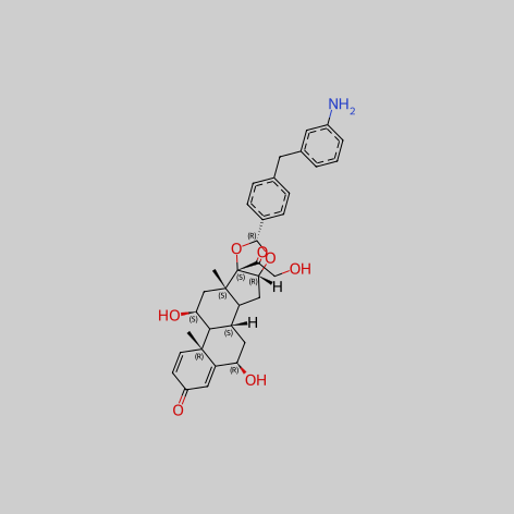 C[C@]12C=CC(=O)C=C1[C@H](O)C[C@@H]1C2[C@@H](O)C[C@@]2(C)C1C[C@H]1O[C@@H](c3ccc(Cc4cccc(N)c4)cc3)O[C@]12C(=O)CO